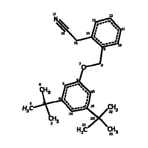 CC(C)(C)c1cc(OCc2ccccc2CC#N)cc(C(C)(C)C)c1